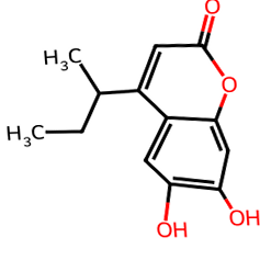 CCC(C)c1cc(=O)oc2cc(O)c(O)cc12